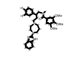 COc1cc(C(=O)N(C)CC(CCN2CCCN(c3nc4ccccc4[nH]3)CC2)c2ccc(F)c(F)c2)cc(OC)c1OC